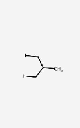 C[C](CI)CI